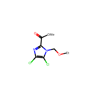 CCOCn1c(C(=O)OC)nc(Cl)c1Cl